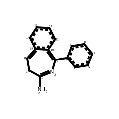 NC1=NC(c2ccccc2)=c2ccccc2=CC1